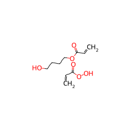 C=CC(=O)OCCCCO.C=CC(=O)OO